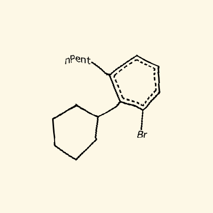 CCCCCc1cccc(Br)c1C1CCCCC1